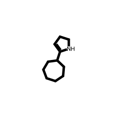 C1=C(C2CCCCCC2)NCC1